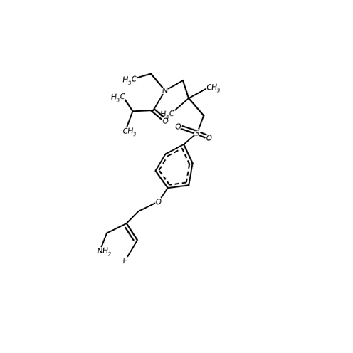 CCN(CC(C)(C)CS(=O)(=O)c1ccc(OCC(=CF)CN)cc1)C(=O)C(C)C